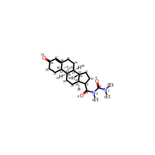 CCN(CC)C(=O)N(CC)C(=O)C1CC[C@H]2[C@@H]3CCC4=CC(=O)CC[C@]4(C)[C@@H]3CC[C@]12C